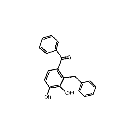 O=C(c1ccccc1)c1ccc(O)c(O)c1Cc1ccccc1